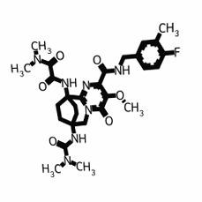 COc1c(C(=O)NCc2ccc(F)c(C)c2)nc2n(c1=O)CC1(NC(=O)N(C)C)CCC2(NC(=O)C(=O)N(C)C)CC1